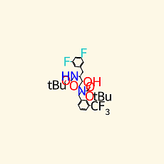 CC(C)(C)OC(=O)N[C@@H](Cc1cc(F)cc(F)c1)[C@H](O)CN(Cc1cccc(C(F)(F)F)c1)C(=O)OC(C)(C)C